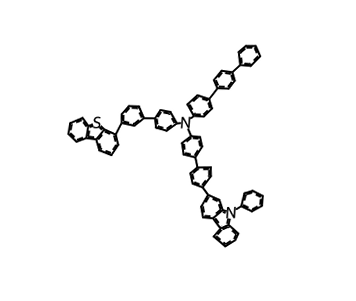 c1ccc(-c2ccc(-c3ccc(N(c4ccc(-c5ccc(-c6ccc7c8ccccc8n(-c8ccccc8)c7c6)cc5)cc4)c4ccc(-c5cccc(-c6cccc7c6sc6ccccc67)c5)cc4)cc3)cc2)cc1